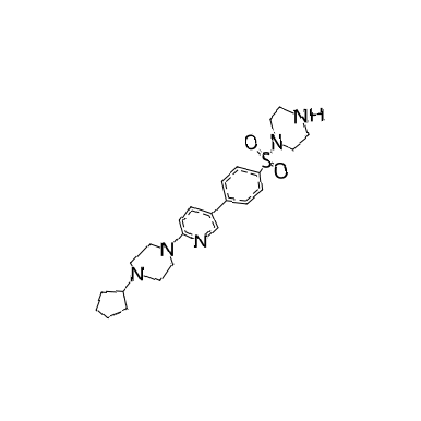 O=S(=O)(c1ccc(-c2ccc(N3CCN(C4CCCC4)CC3)nc2)cc1)N1CCNCC1